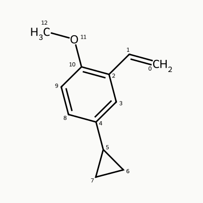 C=Cc1cc(C2CC2)ccc1OC